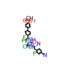 CS(=O)(=O)c1ccc(-c2ccc([C@H](N[C@@H](CC(Cl)Cl)C(=O)N[C@H](C#N)Cc3ccc(C#N)cc3F)C(F)(F)F)cc2)cc1